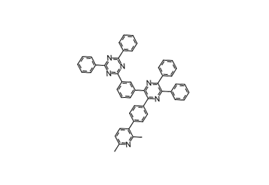 Cc1ccc(-c2ccc(-c3nc(-c4ccccc4)c(-c4ccccc4)nc3-c3cccc(-c4nc(-c5ccccc5)nc(-c5ccccc5)n4)c3)cc2)c(C)n1